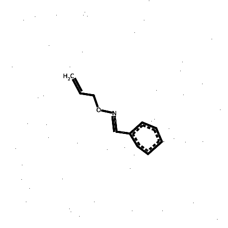 C=CCON=Cc1cc[c]cc1